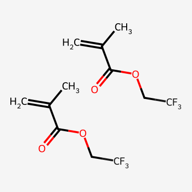 C=C(C)C(=O)OCC(F)(F)F.C=C(C)C(=O)OCC(F)(F)F